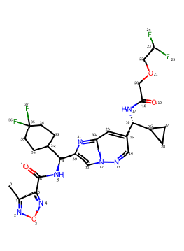 Cc1nonc1C(=O)N[C@H](c1cn2ncc([C@H](NC(=O)COCC(F)F)C3CC3)cc2n1)C1CCC(F)(F)CC1